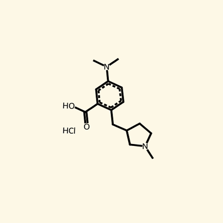 CN1CCC(Cc2ccc(N(C)C)cc2C(=O)O)C1.Cl